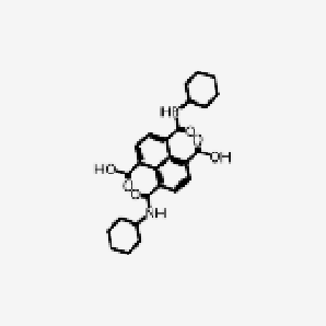 O=C(O)c1ccc(C(=O)NC2CCCCC2)c2c(C(=O)O)ccc(C(=O)BC3CCCCC3)c12